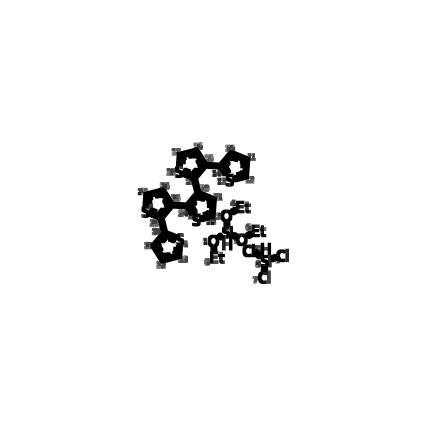 CCO[SiH](OCC)OCC.Cl[SiH](Cl)Cl.c1csc(-c2ccsc2-c2ccsc2-c2ccsc2-c2cccs2)c1